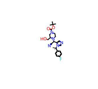 C[C@H](c1ccc(F)cc1)n1cncc1C(C#N)N1CCN(C(=O)OC(C)(C)C)CC1CO